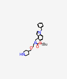 CC(C)(C)OC(=O)N(CCOCC1CCNCC1)Cc1cccc2c1ccn2Cc1ccccc1